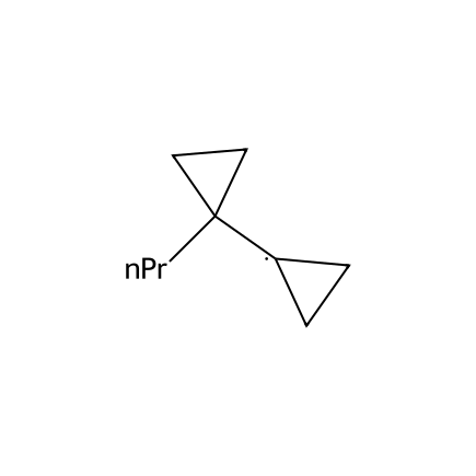 CCCC1([C]2CC2)CC1